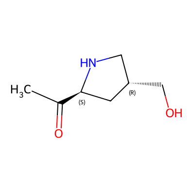 CC(=O)[C@@H]1C[C@@H](CO)CN1